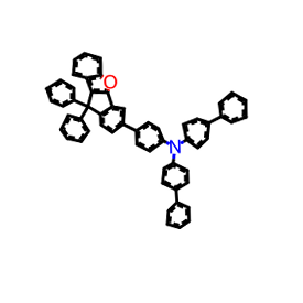 c1ccc(-c2ccc(N(c3ccc(-c4ccccc4)cc3)c3ccc(-c4ccc5c(c4)-c4oc6ccccc6c4C5(c4ccccc4)c4ccccc4)cc3)cc2)cc1